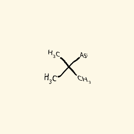 CC(C)(C)[As]